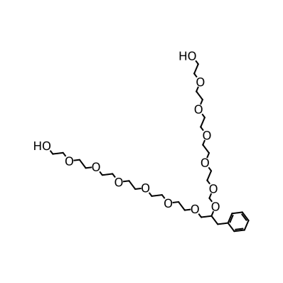 OCCOCCOCCOCCOCCOCCOCC(Cc1ccccc1)OCOCCOCCOCCOCCOCCO